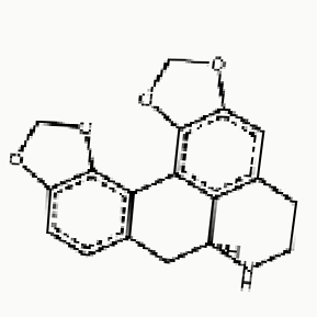 c1cc2c(c3c1C[C@@H]1NCCc4cc5c(c-3c41)OCO5)OCO2